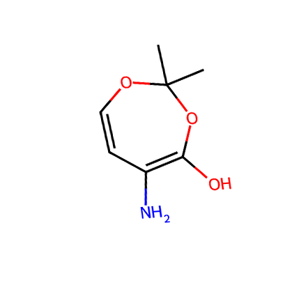 CC1(C)OC=CC(N)=C(O)O1